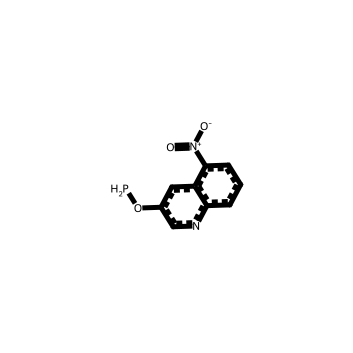 O=[N+]([O-])c1cccc2ncc(OP)cc12